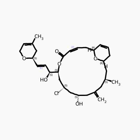 C=C1C[C@H](C)C[C@@H]2CC=C[C@@H](C/C=C\C(=O)O[C@H]([C@@H](O)/C=C/[C@@H]3CC(C)=CCO3)C[C@@H](Cl)C[C@@H](O)C1)O2